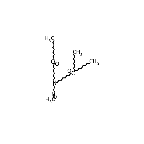 CCCCCCCCCCOC(=O)CCCCCCCN(CCC/C=N/OC)CCCCCCCC(=O)OC(CCCCCCCC)CCCCCCCC